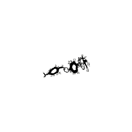 CC(C)c1ccc(COc2ccc(B3OC(C)(C)C(C)(C)O3)cc2)cc1